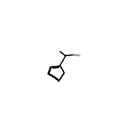 C[N]C(C)C1=CCCC1